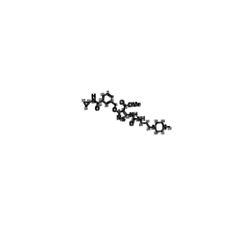 COC(=O)c1c(OCc2cccc(C(=O)NC3CC3)c2)nsc1NC(=O)NCCCN1CCN(C)CC1